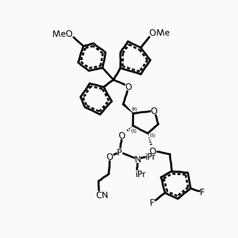 COc1ccc(C(OC[C@H]2OC[C@H](OCc3cc(F)cc(F)c3)[C@@H]2OP(OCCC#N)N(C(C)C)C(C)C)(c2ccccc2)c2ccc(OC)cc2)cc1